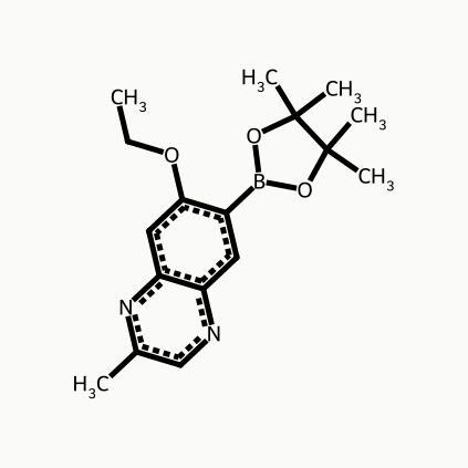 CCOc1cc2nc(C)cnc2cc1B1OC(C)(C)C(C)(C)O1